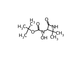 CC(C)(C)OC(=O)N(O)C1C(=O)NC1(C)C